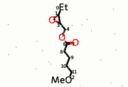 CCC1OC1COC(=O)CCCCOC